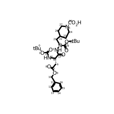 CC(C)(C)OC(=O)N[C@@H](CC(=O)OCc1ccccc1)C(=O)NN(CC1CCN(C(=O)O)CC1)C(=O)OC(C)(C)C